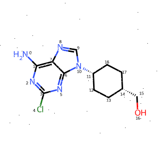 Nc1nc(Cl)nc2c1ncn2[C@H]1CC[C@@H](CO)CC1